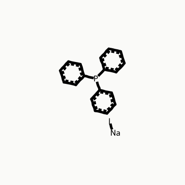 [Na][I].c1ccc(P(c2ccccc2)c2ccccc2)cc1